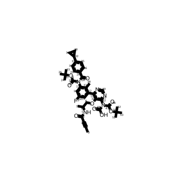 CC#CC(=O)NC(C)COc1c(-c2cc(F)cc(N(C(=O)OC(C)(C)C)C(=O)c3ccc(C4CC4)cc3)c2C)ncnc1N(C(=O)O)C(=O)OC(C)(C)C